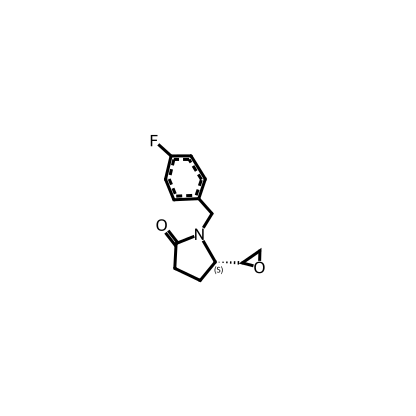 O=C1CC[C@@H](C2CO2)N1Cc1ccc(F)cc1